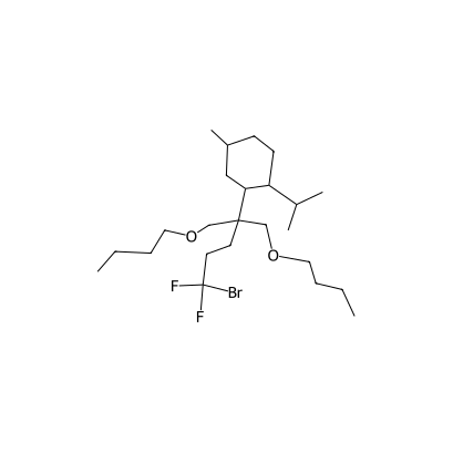 CCCCOCC(CCC(F)(F)Br)(COCCCC)C1CC(C)CCC1C(C)C